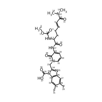 COC(=O)NC(CC/C=C/C(=O)N(C)C)C(=O)Nc1cccn(Cc2nc3cc(F)c(F)cc3n2C(=O)O)c1=O